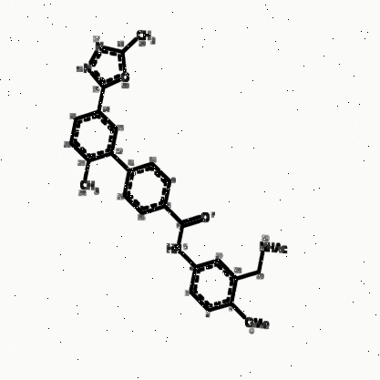 COc1ccc(NC(=O)c2ccc(-c3cc(-c4nnc(C)o4)ccc3C)cc2)cc1CNC(C)=O